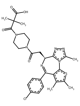 Cc1sc2c(c1C)C(c1ccc(Cl)cc1)=N[C@@H](CC(=O)N1CCN(C(=O)C(C)(C)C(=O)O)CC1)c1nnc(C)n1-2